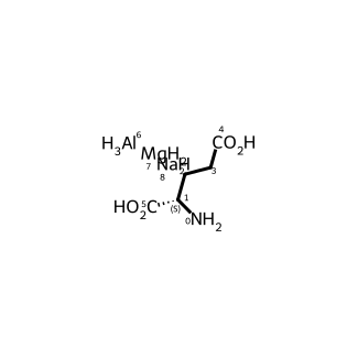 N[C@@H](CCC(=O)O)C(=O)O.[AlH3].[MgH2].[NaH]